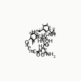 C#Cc1cccc(C2(NC[C@@H](O)[C@@H]3Cc4ccc(c(F)c4)OCCCCC(=O)NC(CC(N)=O)C(=O)N3)CC2)c1